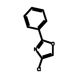 Clc1coc(-c2ccccc2)n1